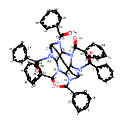 O=C(c1ccccc1)N1C2C3N(C(=O)c4ccccc4)C1C1N(C(=O)c4ccccc4)C(C(N1C(=O)c1ccccc1)N3C(=O)c1ccccc1)N2C(=O)c1ccccc1